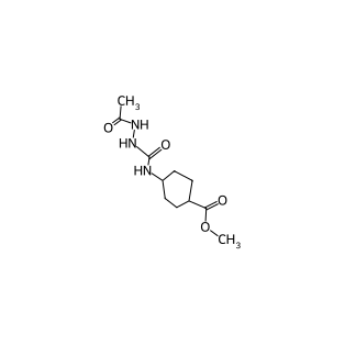 COC(=O)C1CCC(NC(=O)NNC(C)=O)CC1